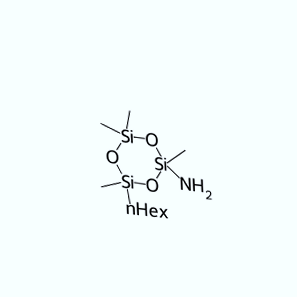 CCCCCC[Si]1(C)O[Si](C)(C)O[Si](C)(N)O1